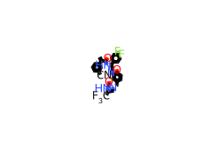 C=C(C(=O)NC(c1nc2cc(CN3CC(C(F)(F)F)NC3=O)ccc2o1)C1CCC(F)(F)CC1)c1cccc(C#N)c1